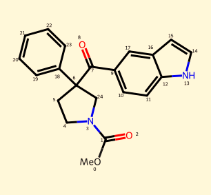 COC(=O)N1CCC(C(=O)c2ccc3[nH]ccc3c2)(c2ccccc2)C1